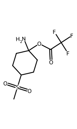 CS(=O)(=O)C1CCC(N)(OC(=O)C(F)(F)F)CC1